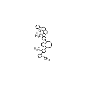 CCc1ccccc1-c1ccc(-c2ccccccc(-c3ccc4c(c3)-c3ccc5ccc6c7ccccc7oc6c5c3C4(C)C)c3ccccc23)cc1CC